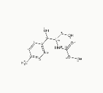 Cc1ccc(C(O)[C@H](CO)NC(=O)OC(C)(C)C)nc1